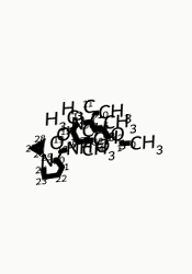 CCOC(=O)/C(C)=C/[C@H](C(C)C)N(C)C(=O)[C@@H](NC(=O)[C@H]1CCCCN1C1CC1)C(C)(C)C